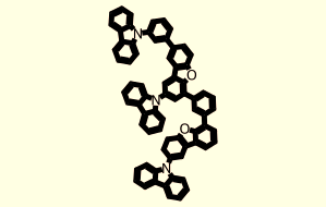 C1=C(n2c3ccccc3c3ccccc32)CCc2oc3c(-c4cccc(-c5cc(-n6c7ccccc7c7ccccc76)cc6c5oc5ccc(-c7cccc(-n8c9ccccc9c9ccccc98)c7)cc56)c4)cccc3c21